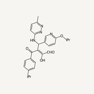 Cc1ccc(NC(/C(C(=O)c2ccc(C(C)C)cc2)=C(/O)C=O)c2ccc(OC(C)C)nc2)nn1